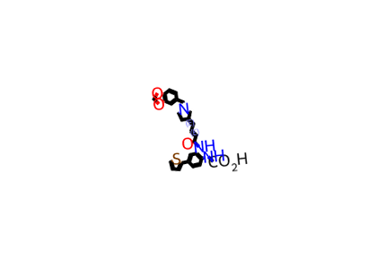 O=C(O)Nc1ccc(-c2cccs2)cc1NC(=O)/C=C/C=C1\CCN(Cc2ccc3c(c2)OCO3)C1